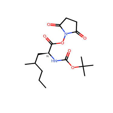 CCCC(C)C[C@H](NC(=O)OC(C)(C)C)C(=O)ON1C(=O)CCC1=O